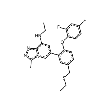 CCNc1cc(-c2cc(CSCC)ccc2Oc2ccc(F)cc2F)cn2c(C)nnc12